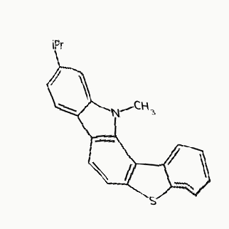 CC(C)c1ccc2c3ccc4sc5ccccc5c4c3n(C)c2c1